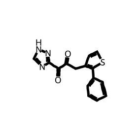 O=C(Cc1ccsc1-c1ccccc1)C(=O)c1nc[nH]n1